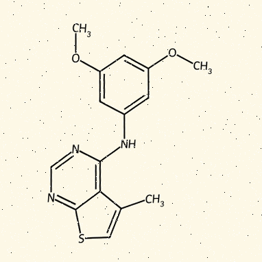 COc1cc(Nc2ncnc3scc(C)c23)cc(OC)c1